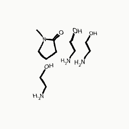 CN1CCCC1=O.NCCO.NCCO.NCCO